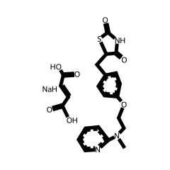 CN(CCOc1ccc(CC2SC(=O)NC2=O)cc1)c1ccccn1.O=C(O)C=CC(=O)O.[NaH]